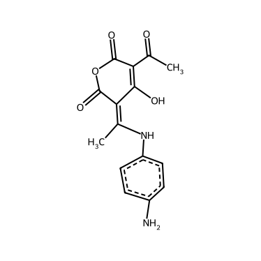 CC(=O)C1=C(O)C(=C(C)Nc2ccc(N)cc2)C(=O)OC1=O